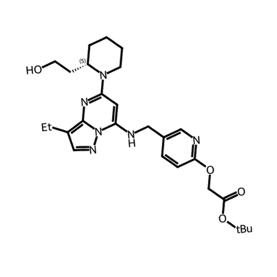 CCc1cnn2c(NCc3ccc(OCC(=O)OC(C)(C)C)nc3)cc(N3CCCC[C@H]3CCO)nc12